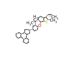 C/C=C\c1c(C)sc2c3c(ccc12)C(C)(C)c1cc(-c2ccc4c5ccccc5c5ccccc5c4c2)ccc1O3